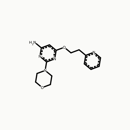 Nc1cc(OCCc2ccccn2)nc(N2CCOCC2)n1